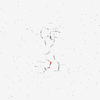 CO[C@]12CC[C@@]3(C[C@@H]1[C@](C)(O)C(C)(C)C)[C@H]1Cc4cc(-c5cc6c7c(c5O)O[C@H]5[C@@]8(OC)CC[C@@]9(C[C@]8(C)[C@](C)(O)C(C)(C)C)[C@@H](C6)N(CC6CC6)CC[C@]759)c(O)c5c4[C@@]3(CCN1CC1CC1)[C@H]2O5